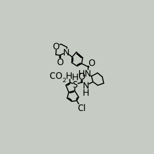 O=C(O)C1=Cc2ccc(Cl)cc2[SH]1C(=O)NC1CCCCC1NC(=O)c1ccc(N2CCOCC2=O)cc1